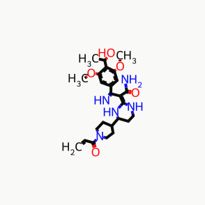 C=CC(=O)N1CCC(C2CCN/C(=C(/C(=N)c3cc(OC)c(C(C)O)c(OC)c3)C(N)=O)N2)CC1